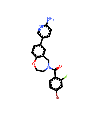 Nc1ccc(-c2ccc3c(c2)CN(C(=O)c2ccc(Br)cc2F)CCO3)cn1